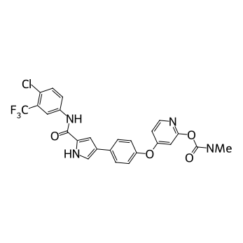 CNC(=O)Oc1cc(Oc2ccc(-c3c[nH]c(C(=O)Nc4ccc(Cl)c(C(F)(F)F)c4)c3)cc2)ccn1